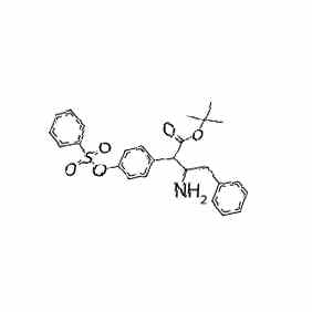 CC(C)(C)OC(=O)C(c1ccc(OS(=O)(=O)c2ccccc2)cc1)C(N)Cc1ccccc1